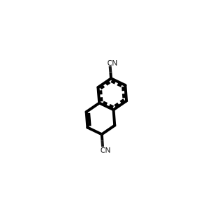 N#Cc1ccc2c(c1)C=CC(C#N)C2